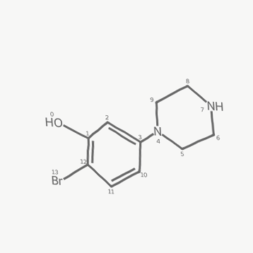 Oc1cc(N2CCNCC2)ccc1Br